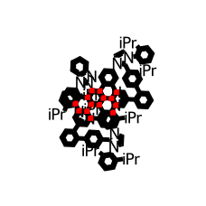 CC(C)c1cccc(C(C)C)c1-n1ccnc1-c1ccc(-c2ccccc2-c2cc(-c3ccccc3-c3ccc(-c4nccn4-c4c(C(C)C)cccc4C(C)C)cc3)cc(-c3cccc(-c4cc(-c5ccccc5-c5ccc(-c6nccn6-c6c(C(C)C)cccc6C(C)C)cc5)cc(-c5ccccc5-c5ccc(-c6nccn6-c6c(C(C)C)cccc6C(C)C)cc5)c4)c3-c3ccc(-n4nc5ccccc5n4)cc3)c2)cc1